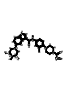 COC(=O)N1CCN(c2ccc(NC(=O)c3csc4ccc(N5C[C@@H](C)N(C)[C@@H](C)C5)cc34)cc2C)CC1